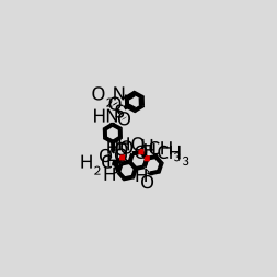 C=C1C(=O)[C@]23[C@H](OC(=O)C4CCC(NS(=O)(=O)c5ccccc5[N+](=O)[O-])CC4)[C@H]1CC[C@H]2[C@@]12CO[C@@]3(O)[C@@H](O)[C@@H]1C(C)(C)CCC2=O